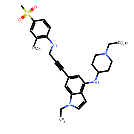 COc1cc(S(C)(=O)=O)ccc1NCC#Cc1cc(NC2CCN(CC(=O)O)CC2)c2ccn(CC(F)(F)F)c2c1